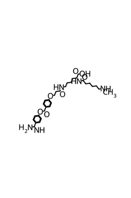 CNCCCCCC(=O)NC(CCCCNC(=O)CCOc1ccc(C(=O)Oc2ccc(C(=N)N)cc2)cc1)C(=O)O